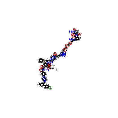 CC1(C)CCC(c2ccc(Cl)cc2)=C(CN2CCN(c3ccc(C(=O)N[S+]([O-])c4ccc(N[C@H](CCN5CCN(C(=O)CCCn6cc(COCCOCCOCCNc7cccc8c7C(=O)N(C7CCC(=O)NC7=O)C8=O)nn6)CC5)CSc5ccccc5)c(S(=O)(=O)C(F)(F)F)c4)cc3)CC2)C1